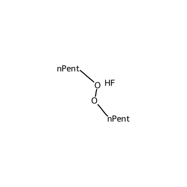 CCCCCOOCCCCC.F